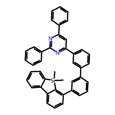 C[Si]1(C)c2ccccc2-c2cccc(-c3cccc(-c4cccc(-c5cc(-c6ccccc6)nc(-c6ccccc6)n5)c4)c3)c21